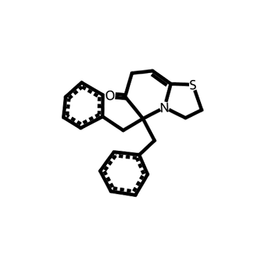 O=C1CC=C2SCCN2C1(Cc1ccccc1)Cc1ccccc1